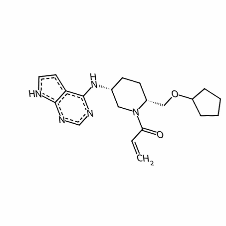 C=CC(=O)N1C[C@H](Nc2ncnc3[nH]ccc23)CC[C@@H]1COC1CCCC1